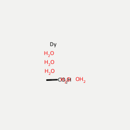 CC(=O)O.O.O.O.O.O.[Dy]